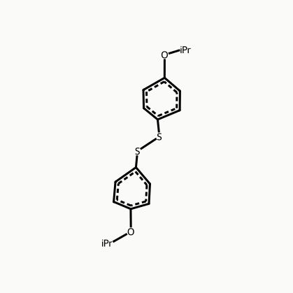 CC(C)Oc1ccc(SSc2ccc(OC(C)C)cc2)cc1